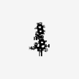 O=C(O)c1c[nH]c2c(=O)[nH]c3ccc(NS(=O)(=O)c4ccc5ccccc5c4)cc3c12